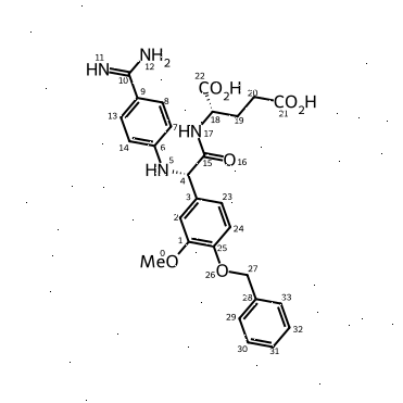 COc1cc([C@H](Nc2ccc(C(=N)N)cc2)C(=O)N[C@@H](CCC(=O)O)C(=O)O)ccc1OCc1ccccc1